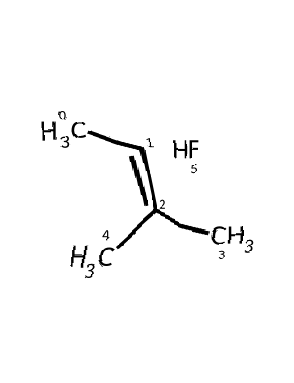 CC=C(C)C.F